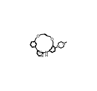 CN1CCN(c2ccc3cc2COC/C=C/COCc2cccc(c2)-c2ccnc(n2)N3)CC1